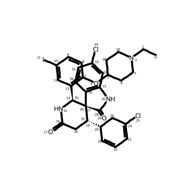 CCN1CCC(Oc2ccc(I)cc2[C@@H]2NC(=O)C[C@@H](C3C=CC=C(Cl)C3)[C@]23C(=O)Nc2cc(Cl)ccc23)CC1